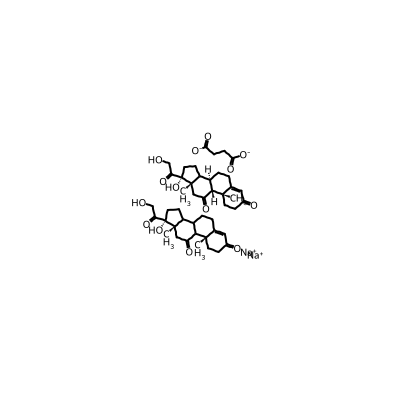 C[C@]12CCC(=O)C=C1CCC1C2C(=O)C[C@@]2(C)C1CC[C@]2(O)C(=O)CO.C[C@]12CCC(=O)C=C1CC[C@@H]1C3CC[C@](O)(C(=O)CO)[C@@]3(C)CC(=O)[C@H]12.O=C([O-])CCC(=O)[O-].[Na+].[Na+]